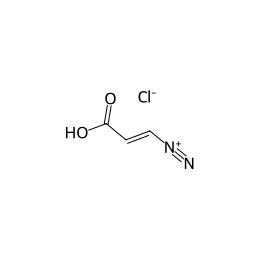 N#[N+]C=CC(=O)O.[Cl-]